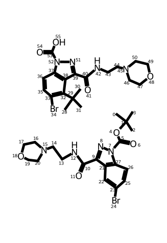 CC(C)(C)OC(=O)n1nc(C(=O)NCCN2CCOCC2)c2cc(Br)ccc21.CC(C)(C)c1c(Br)ccc2c1c(C(=O)NCCN1CCOCC1)nn2C(=O)O